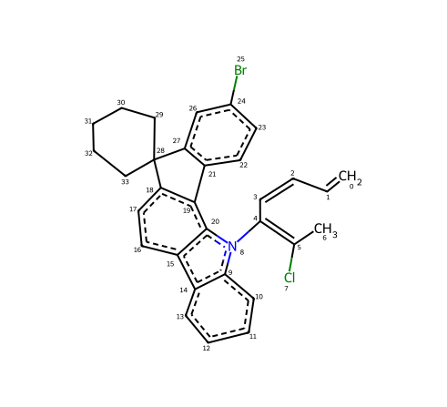 C=C/C=C\C(=C(/C)Cl)n1c2ccccc2c2ccc3c(c21)-c1ccc(Br)cc1C31CCCCC1